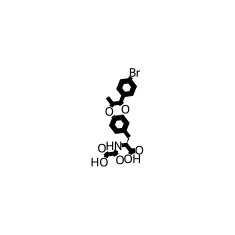 CC(Oc1ccc(C[C@@H](NC(=O)C(=O)O)C(=O)O)cc1)C(=O)c1ccc(Br)cc1